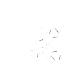 CCCC(=O)[N](Cc1ccccc1)[Nd+][N](Cc1ccccc1)C(=O)CCC.[Br-]